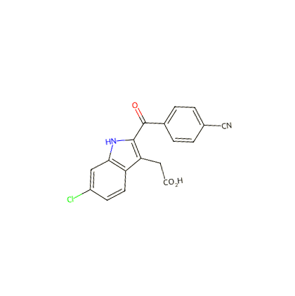 N#Cc1ccc(C(=O)c2[nH]c3cc(Cl)ccc3c2CC(=O)O)cc1